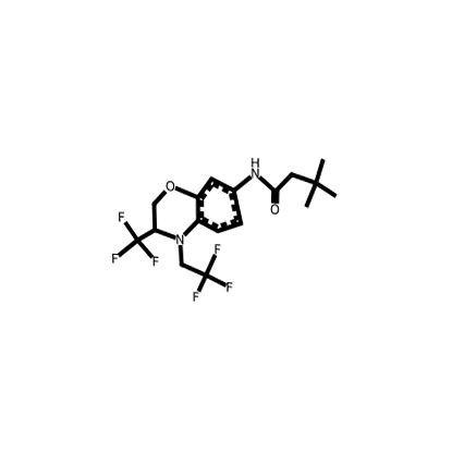 CC(C)(C)CC(=O)Nc1ccc2c(c1)OCC(C(F)(F)F)N2CC(F)(F)F